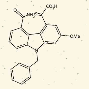 COc1cc(C(=O)C(=O)O)c2c3c(C(N)=O)cccc3n(Cc3ccccc3)c2c1